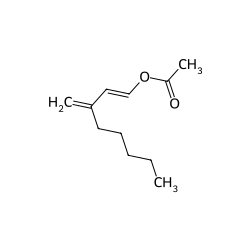 C=C(C=COC(C)=O)CCCCC